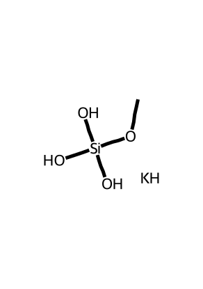 CO[Si](O)(O)O.[KH]